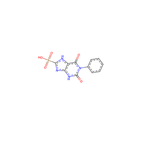 O=c1[nH]c2nc(S(=O)(=O)O)[nH]c2c(=O)n1-c1ccccc1